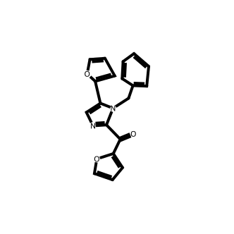 O=C(c1ccco1)c1ncc(-c2ccco2)n1Cc1ccccc1